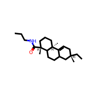 CCCNC(=O)[C@]1(C)CCC[C@@]2(C)C3=CC[C@](C)(CC)CC3CCC12